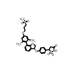 Cc1cc(OCCCS(C)(=O)=O)cc(C)c1-c1cccc2c1OC[C@H]2Oc1ccc(C2CC(=O)NS2(=O)=O)cc1